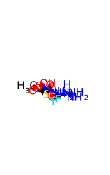 CC(=O)OCC1=C(C(=O)O)N2C(=O)C(NC(=O)C(N)(CCCNC(=N)N)C(F)(F)F)C2SC1